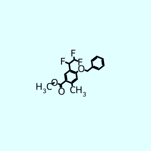 COC(=O)c1cc(C(F)C(F)F)c(OCc2ccccc2)cc1C